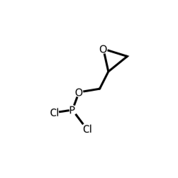 ClP(Cl)OCC1CO1